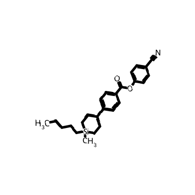 CCCCC[Si]1(C)CCC(c2ccc(C(=O)Oc3ccc(C#N)cc3)cc2)CC1